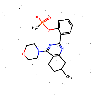 CC1CCc2c(nc(-c3ccccc3OP(C)(=O)O)nc2N2CCOCC2)C1